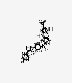 Cc1cnc(CC(=O)NC2CCC(N(C)c3nccc(Nc4cc(C5CC5)[nH]n4)n3)CC2)cn1